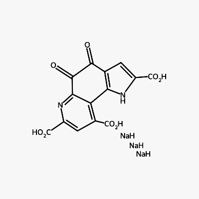 O=C(O)c1cc(C(=O)O)c2c(n1)C(=O)C(=O)c1cc(C(=O)O)[nH]c1-2.[NaH].[NaH].[NaH]